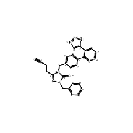 C#CCCc1nn(Cc2ccccc2)c(=O)n1Cc1ccc(-c2ccccc2-c2nnn[nH]2)cc1